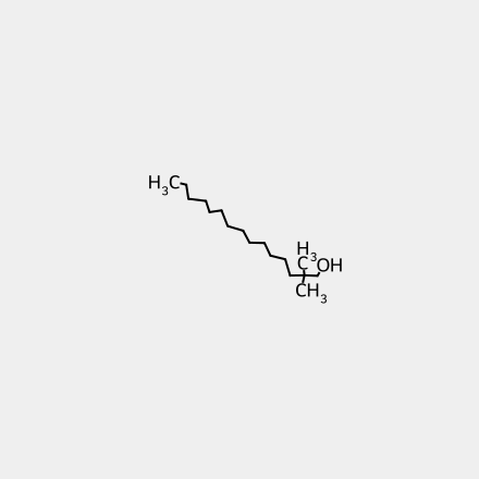 CCCCCCCCCCCCCC(C)(C)CO